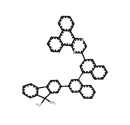 CC1(C)c2ccccc2-c2ccc(-c3cc(-c4cc(-c5cnc6c7ccccc7c7ccccc7c6n5)cc5ccccc45)c4ccccc4c3)cc21